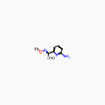 CCO/N=C(\[C]=O)c1cccc(N)n1